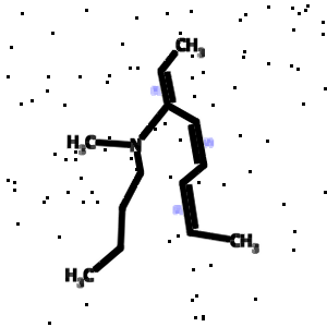 C\C=C/C=C\C(=C/C)N(C)CCCC